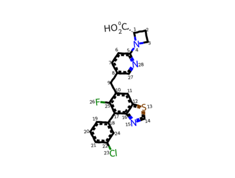 O=C(O)[C@@H]1CCN1c1ccc(Cc2cc3scnc3c(-c3cccc(Cl)c3)c2F)cn1